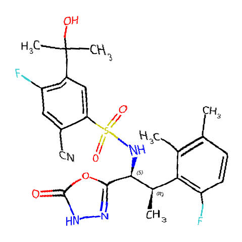 Cc1ccc(F)c([C@@H](C)[C@H](NS(=O)(=O)c2cc(C(C)(C)O)c(F)cc2C#N)c2n[nH]c(=O)o2)c1C